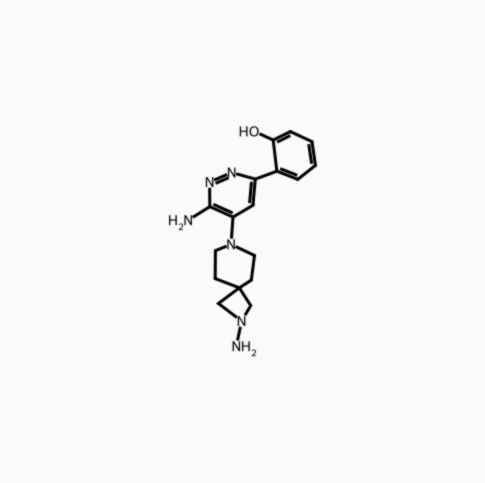 Nc1nnc(-c2ccccc2O)cc1N1CCC2(CC1)CN(N)C2